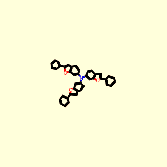 c1ccc(-c2cc3ccc(N(c4ccc5cc(-c6ccccc6)oc5c4)c4ccc5cc(-c6ccccc6)oc5c4)cc3o2)cc1